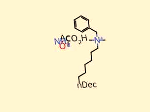 CC(=O)O.CC(=O)[O-].CCCCCCCCCCCCCCCC[N+](C)(C)Cc1ccccc1.N